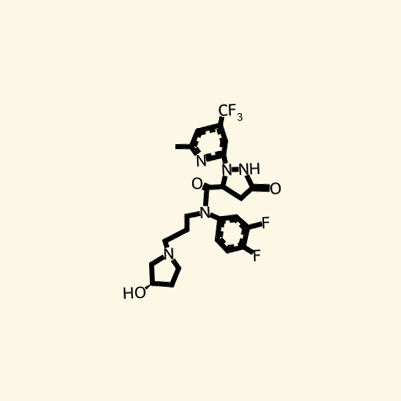 Cc1cc(C(F)(F)F)cc(N2NC(=O)CC2C(=O)N(CCCN2CC[C@H](O)C2)c2ccc(F)c(F)c2)n1